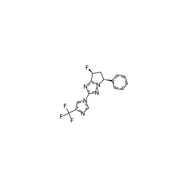 F[C@H]1C[C@@H](c2ccccc2)n2nc(-n3cnc(C(F)(F)F)c3)nc21